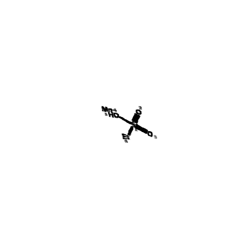 CCS(=O)(=O)O.[Mn]